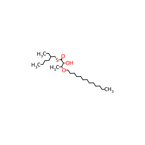 CCCCCCCCCCCCCOC(C)[C@H](O)C(=O)SCC(CC)CCCC